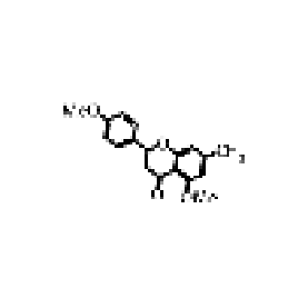 COc1ccc(C2CC(=O)c3c(OC)cc(C)cc3O2)cc1